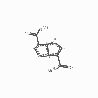 COC(=O)c1csc2c(C(=O)OC)csc12